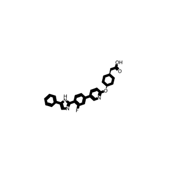 O=C(O)C[C@H]1CC[C@H](Oc2ccc(-c3ccc(-c4ncc(-c5ccccc5)[nH]4)c(F)c3)cn2)CC1